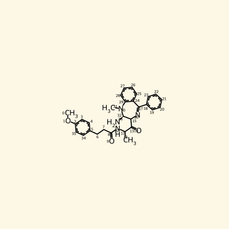 COc1ccc(CCC(=O)NC(C)C(=O)C2N=C(c3ccccc3)c3ccccc3N(C)[C@@H]2N)cc1